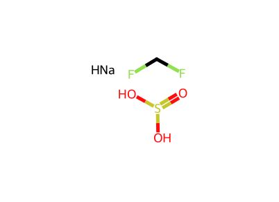 FCF.O=S(O)O.[NaH]